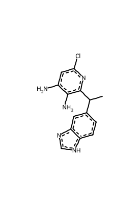 CC(c1ccc2[nH]cnc2c1)c1nc(Cl)cc(N)c1N